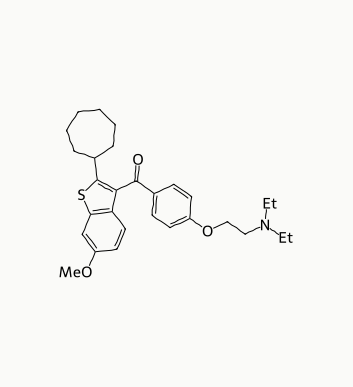 CCN(CC)CCOc1ccc(C(=O)c2c(C3CCCCCC3)sc3cc(OC)ccc23)cc1